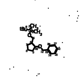 CC(C)(C)[Si](C)(C)OCC1CCCC1OCc1ccccc1